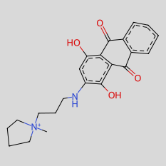 C[N+]1(CCCNc2cc(O)c3c(c2O)C(=O)c2ccccc2C3=O)CCCC1